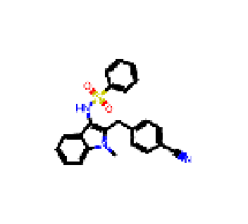 Cn1c(Cc2ccc(C#N)cc2)c(NS(=O)(=O)c2ccccc2)c2ccccc21